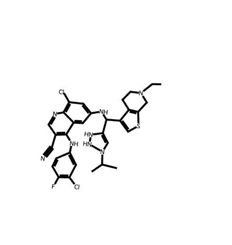 CCN1CCc2c(C(Nc3cc(Cl)c4ncc(C#N)c(Nc5ccc(F)c(Cl)c5)c4c3)C3=CN(C(C)C)NN3)csc2C1